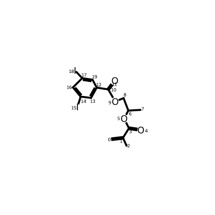 C=C(C)C(=O)OC(C)COC(=O)c1cc(I)cc(I)c1